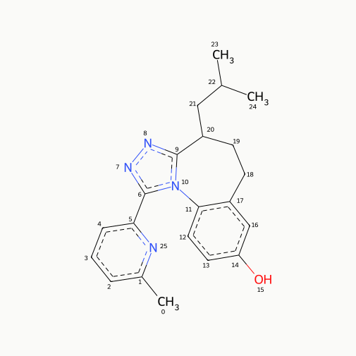 Cc1cccc(-c2nnc3n2-c2ccc(O)cc2CCC3CC(C)C)n1